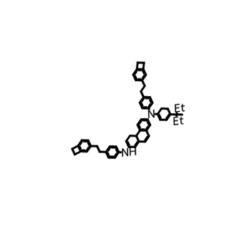 CCC(C)(CC)C1=CC=C(N(c2ccc(CCc3ccc4c(c3)CC4)cc2)c2ccc3c(c2)C=CC2=CC(Nc4ccc(CCc5ccc6c(c5)CC6)cc4)=CCC23)CC1